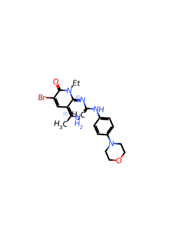 C=C(/N=C1\C(=C(\C)N)C=C(Br)C(=O)N1CC)Nc1ccc(N2CCOCC2)cc1